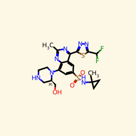 Cc1nc(-c2nnc(C(F)F)s2)c2cc(S(=O)(=O)NC3(C)CC3)cc(N3CCNC[C@@H]3CO)c2n1